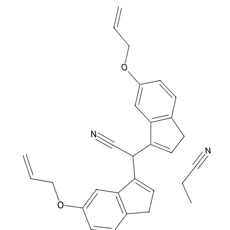 C=CCOc1ccc2c(c1)C(C(C#N)C1=CCc3ccc(OCC=C)cc31)=CC2.CCC#N